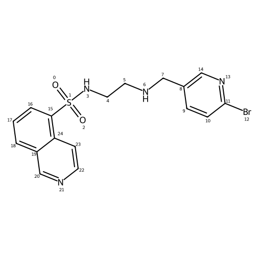 O=S(=O)(NCCNCc1ccc(Br)nc1)c1cccc2cnccc12